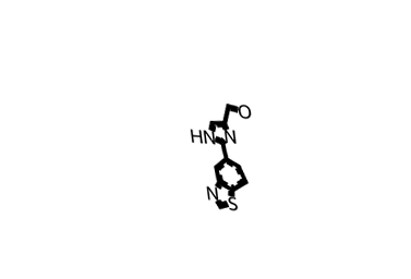 O=Cc1c[nH]c(-c2ccc3scnc3c2)n1